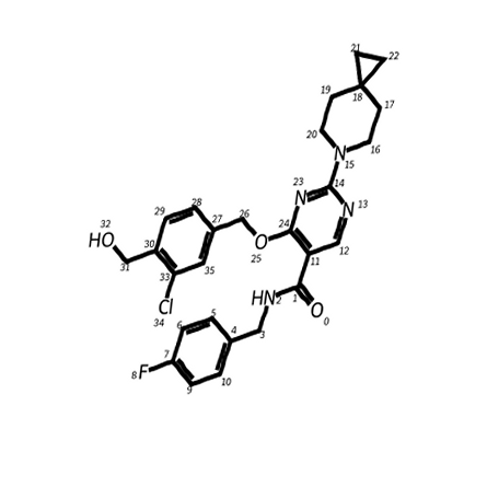 O=C(NCc1ccc(F)cc1)c1cnc(N2CCC3(CC2)CC3)nc1OCc1ccc(CO)c(Cl)c1